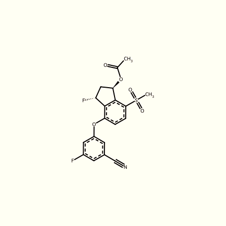 CC(=O)O[C@@H]1C[C@@H](F)c2c(Oc3cc(F)cc(C#N)c3)ccc(S(C)(=O)=O)c21